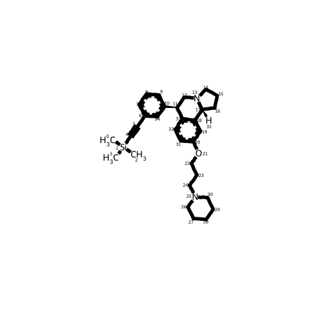 C[Si](C)(C)C#Cc1cccc([C@H]2CN3CCC[C@@H]3c3cc(OCCCN4CCCCC4)ccc32)c1